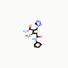 Cc1c(C(=O)Nc2ccccc2)sc(-n2cnnn2)c1C(N)=O